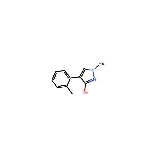 Cc1ccccc1-c1cn(C(C)(C)C)nc1O